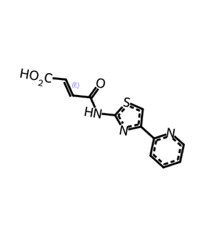 O=C(O)/C=C/C(=O)Nc1nc(-c2ccccn2)cs1